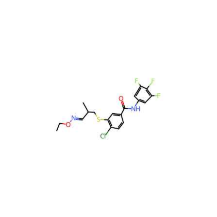 CCO/N=C/C(C)CSc1cc(C(=O)Nc2cc(F)c(F)c(F)c2)ccc1Cl